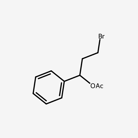 CC(=O)OC(CCBr)c1ccccc1